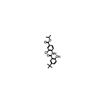 CC(C)OC(=O)c1ccc(NC(=O)c2cc(C(C)(C)C)ccc2O)c(Cl)c1